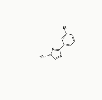 CCCn1cnc(-c2cccc(CC)c2)n1